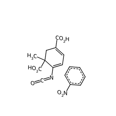 CC1(C(=O)O)CC(C(=O)O)=CC=C1N=C=O.O=[N+]([O-])c1ccccc1